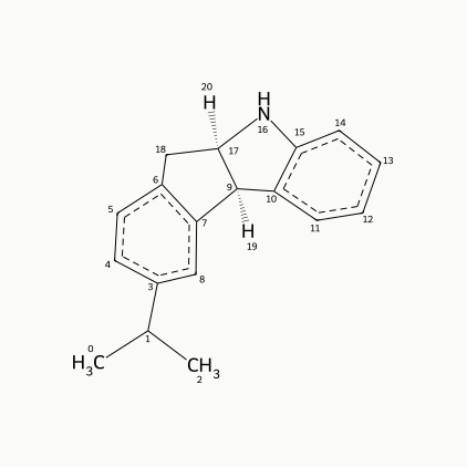 CC(C)c1ccc2c(c1)[C@@H]1c3ccccc3N[C@@H]1C2